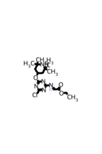 CCOC(=O)/C=N/c1nc(Cl)nc(OC2CC(C)(C)NC(C)(C)C2)n1